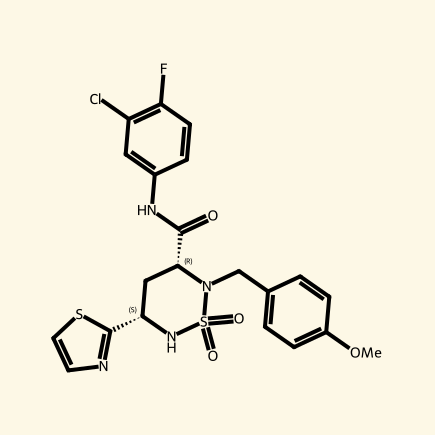 COc1ccc(CN2[C@@H](C(=O)Nc3ccc(F)c(Cl)c3)C[C@@H](c3nccs3)NS2(=O)=O)cc1